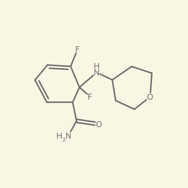 NC(=O)C1C=CC=C(F)C1(F)NC1CCOCC1